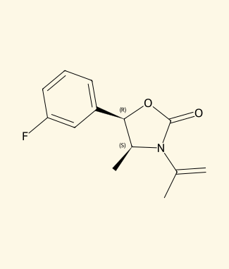 C=C(C)N1C(=O)O[C@H](c2cccc(F)c2)[C@@H]1C